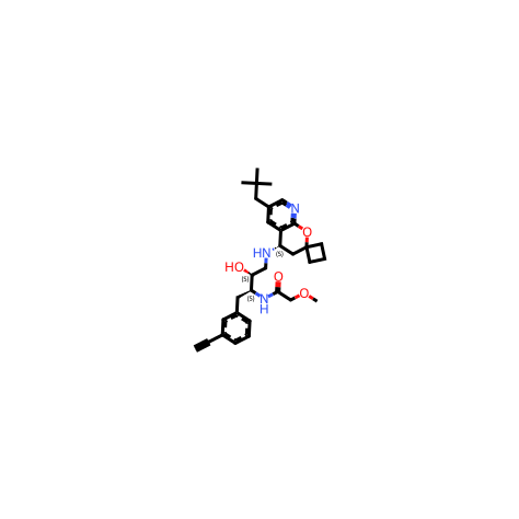 C#Cc1cccc(C[C@H](NC(=O)COC)[C@@H](O)CN[C@H]2CC3(CCC3)Oc3ncc(CC(C)(C)C)cc32)c1